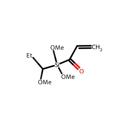 C=CC(=O)[Si](OC)(OC)C(CC)OC